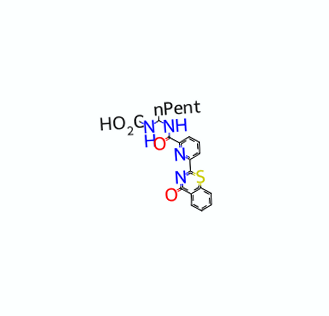 CCCCCC(NC(=O)O)NC(=O)c1cccc(-c2nc(=O)c3ccccc3s2)n1